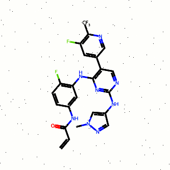 C=CC(=O)Nc1ccc(F)c(Nc2nc(Nc3cnn(C)c3)ncc2-c2cnc(C(F)(F)F)c(F)c2)c1